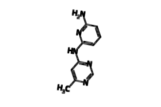 Cc1cc(Nc2cccc(N)n2)ncn1